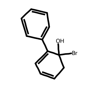 OC1(Br)CC=CC=C1c1ccccc1